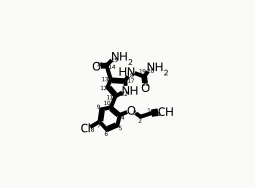 C#CCOc1ccc(Cl)cc1-c1cc(C(N)=O)c(NC(N)=O)[nH]1